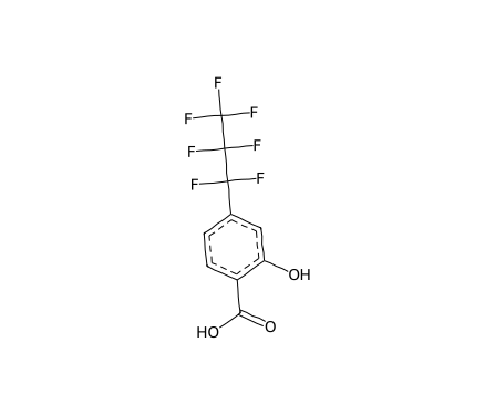 O=C(O)c1ccc(C(F)(F)C(F)(F)C(F)(F)F)cc1O